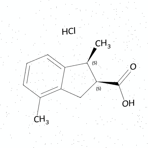 Cc1cccc2c1C[C@H](C(=O)O)[C@@H]2C.Cl